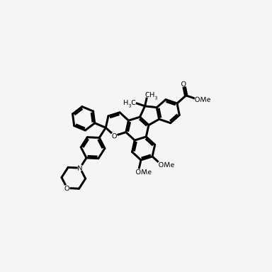 COC(=O)c1ccc2c(c1)C(C)(C)c1c3c(c4cc(OC)c(OC)cc4c1-2)OC(c1ccccc1)(c1ccc(N2CCOCC2)cc1)C=C3